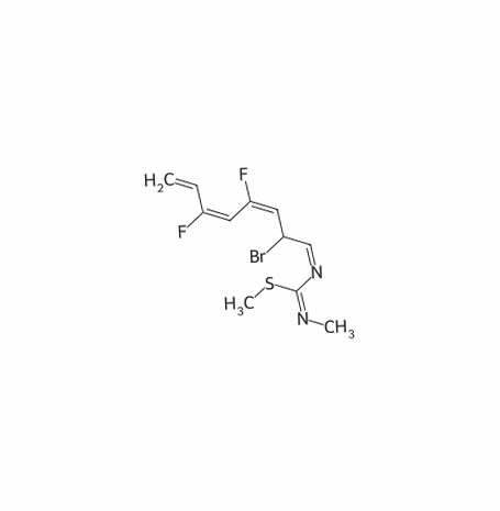 C=C/C(F)=C\C(F)=C/C(Br)/C=N\C(=N/C)SC